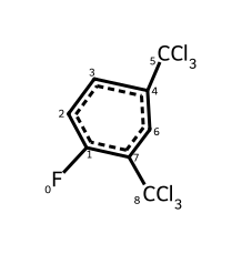 Fc1ccc(C(Cl)(Cl)Cl)cc1C(Cl)(Cl)Cl